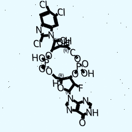 O=c1[nH]cnc2c1ncn2[C@@H]1O[C@@H]2COP(=O)(O)OC3C(O)[C@@H](COP(=O)(O)OC2C1F)O[C@H]3n1c(Cl)nc2cc(Cl)c(Cl)cc21